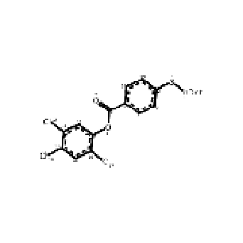 CCCCCCCCSc1ccc(C(=O)Oc2cc(Cl)c(Cl)cc2Cl)cc1